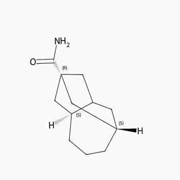 NC(=O)[C@@]12CC3C[C@H](CCC[C@H]3C1)C2